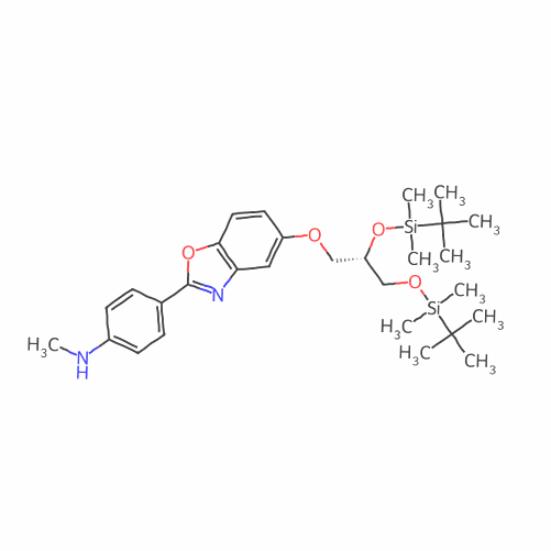 CNc1ccc(-c2nc3cc(OC[C@@H](CO[Si](C)(C)C(C)(C)C)O[Si](C)(C)C(C)(C)C)ccc3o2)cc1